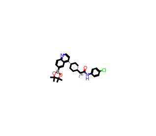 C[C@@H](C(=O)Nc1ccc(Cl)cc1)[C@H]1CC[C@@H](c2ccnc3ccc(B4OC(C)(C)C(C)(C)O4)cc32)CC1